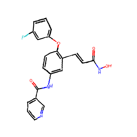 O=C(C=Cc1cc(NC(=O)c2cccnc2)ccc1Oc1cccc(F)c1)NO